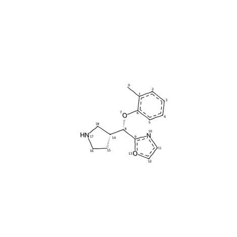 Cc1ccccc1O[C@H](c1ncco1)[C@@H]1CCNC1